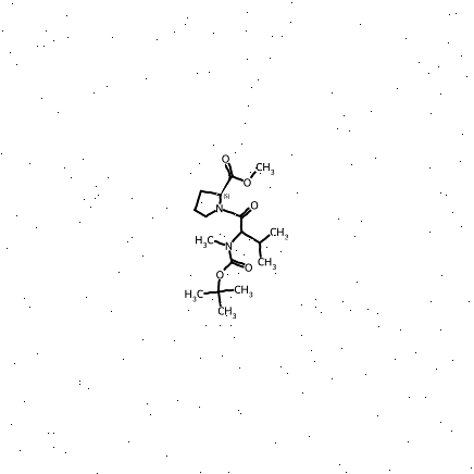 COC(=O)[C@@H]1CCCN1C(=O)C(C(C)C)N(C)C(=O)OC(C)(C)C